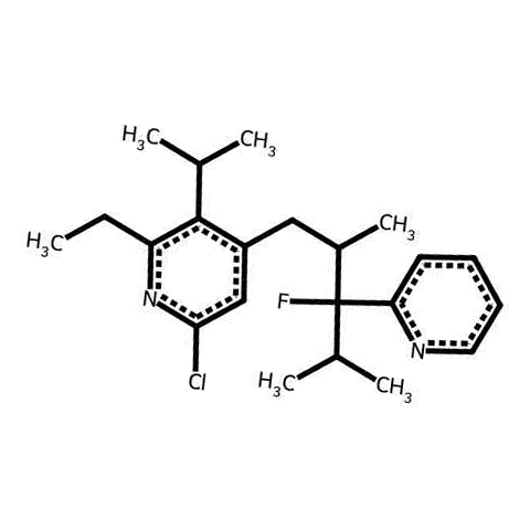 CCc1nc(Cl)cc(CC(C)C(F)(c2ccccn2)C(C)C)c1C(C)C